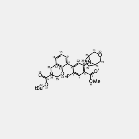 COC(=O)c1cc(F)c(-c2cccc3c2OCN(C(=O)OC(C)(C)C)C3)cc1N1C2CCC1COC2